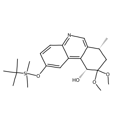 COC1(OC)C[C@@H](C)c2cnc3ccc(O[Si](C)(C)C(C)(C)C)cc3c2[C@H]1O